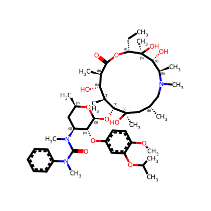 CC[C@H]1OC(=O)[C@H](C)[C@@H](O)[C@H](C)[C@@H](O[C@@H]2O[C@H](C)C[C@H](N(C)C(=O)N(C)c3ccccc3)[C@H]2Oc2ccc(OC)c(OC(C)C)c2)[C@](C)(O)C[C@@H](C)CN(C)[C@H](C)[C@@H](O)[C@]1(C)O